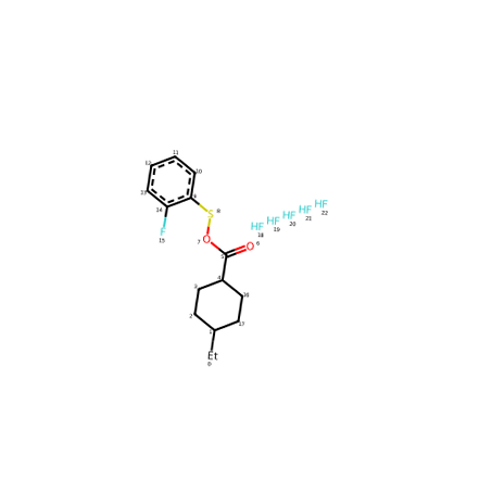 CCC1CCC(C(=O)OSc2ccccc2F)CC1.F.F.F.F.F